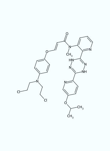 CC(C)Oc1ccc(C2=NNC(c3ncccc3N(C)C(=O)/C=C/Oc3ccc(N(CCCl)CCCl)cc3)=NN2)nc1